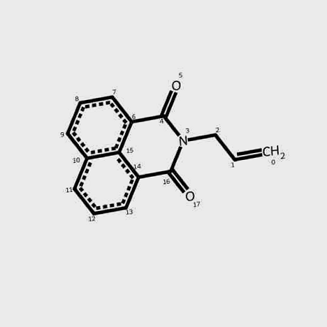 C=CCN1C(=O)c2cccc3cccc(c23)C1=O